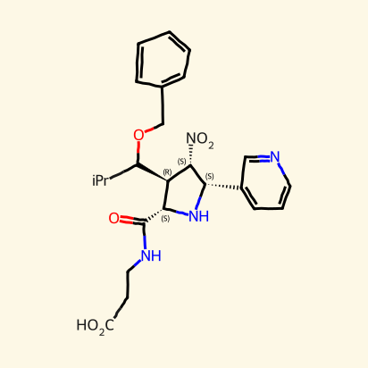 CC(C)C(OCc1ccccc1)[C@H]1[C@H]([N+](=O)[O-])[C@H](c2cccnc2)N[C@@H]1C(=O)NCCC(=O)O